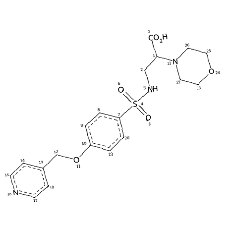 O=C(O)C(CNS(=O)(=O)c1ccc(OCc2ccncc2)cc1)N1CCOCC1